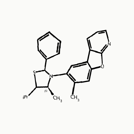 Cc1cc2oc3ncccc3c2cc1N1C(c2ccccc2)SC(C(C)C)[C@@H]1C